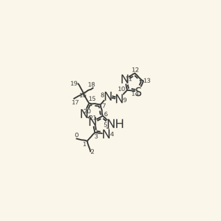 CC(C)c1n[nH]c2c(N=Nc3nccs3)c(C(C)(C)C)nn12